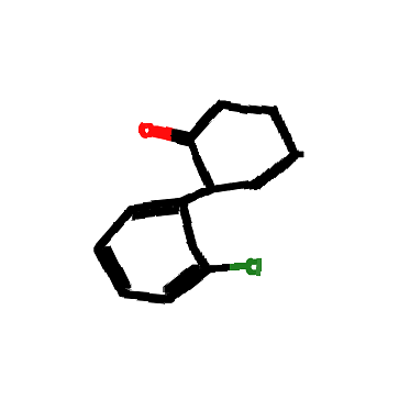 O=C1CC[CH]CC1c1ccccc1Cl